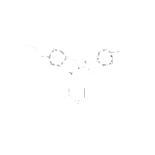 CC(C)NC(C)C.CCOc1ccc(CC(C)(C(=O)O)S(=O)(=O)c2ccc(OC)cc2)cc1